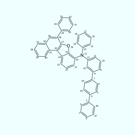 c1ccc(-c2ccc(-c3cccc(N(c4ccccc4)c4cccc5c4oc4c(-c6ccccc6)cc6ccccc6c45)c3)cc2)cc1